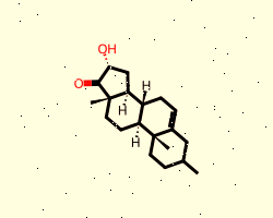 CC1CC[C@@]2(C)C(=CC[C@@H]3[C@@H]2CC[C@]2(C)C(=O)[C@H](O)C[C@@H]32)C1